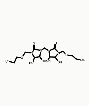 CCCOCN1C(=O)N(CN2C(=O)N(COCCC)C(O)C2O)C(O)C1O